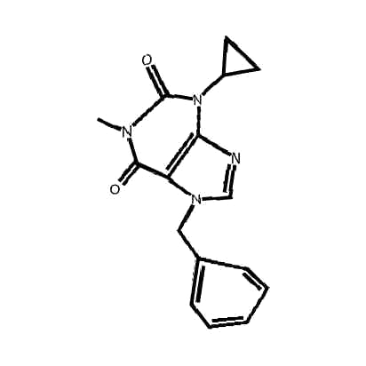 Cn1c(=O)c2c(ncn2Cc2ccccc2)n(C2CC2)c1=O